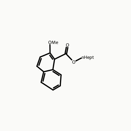 CCCCCCCOC(=O)c1c(OC)ccc2ccccc12